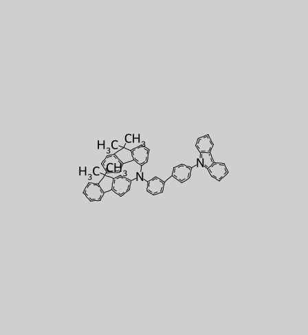 CC1(C)c2ccccc2-c2ccc(N(c3cccc(-c4ccc(-n5c6ccccc6c6ccccc65)cc4)c3)c3cccc4c3-c3ccccc3C4(C)C)cc21